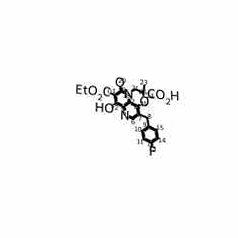 CCOC(=O)c1c(O)c2ncc(Cc3ccc(F)cc3)c3c2n(c1=O)C[C@](C)(C(=O)O)O3